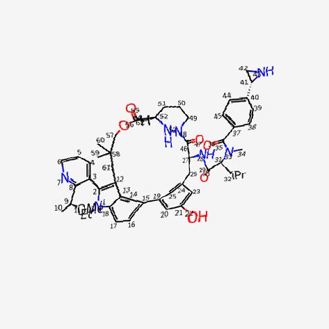 CCn1c(-c2cccnc2[C@H](C)OC)c2c3cc(ccc31)-c1cc(O)cc(c1)C[C@H](NC(=O)[C@H](C(C)C)N(C)C(=O)c1ccc([C@@H]3CN3)cc1)C(=O)N1CCC[C@H](N1)C(=O)OCC(C)(C)C2